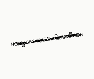 O=C(CCSCSCSCCCOOCCSCSCSCCOC(=O)CCSCSCSCCC(=O)OCCCO)OCCCO